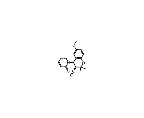 COc1ccc2c(c1)C(n1ccccc1=O)C(=C=S)C(C)(C)O2